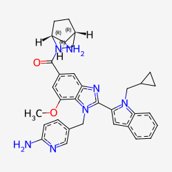 COc1cc(C(=O)N2C[C@H]3CC[C@@H]2[C@@H]3N)cc2nc(-c3cc4ccccc4n3CC3CC3)n(Cc3ccc(N)nc3)c12